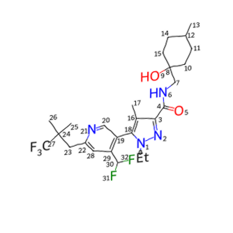 CCn1nc(C(=O)NCC2(O)CCC(C)CC2)c(C)c1-c1cnc(CC(C)(C)C(F)(F)F)cc1C(F)F